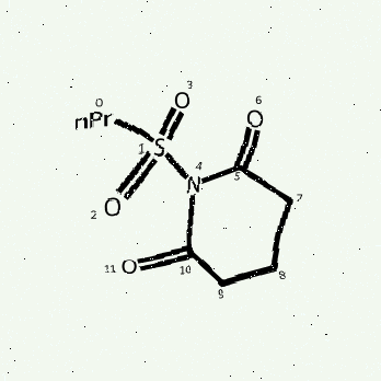 CCCS(=O)(=O)N1C(=O)CCCC1=O